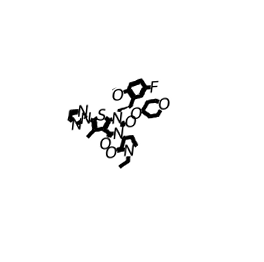 CCN1CCC(n2c(=O)c3c(C)c(-n4nccn4)sc3n(C[C@H](OC3CCOCC3)c3cc(F)ccc3OC)c2=O)C1=O